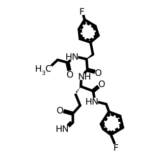 CCC(=O)N[C@@H](Cc1ccc(F)cc1)C(=O)N[C@@H](CCC(=O)C=N)C(=O)NCc1ccc(F)cc1